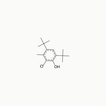 Cc1c(C(C)(C)C)cc(C(C)(C)C)c(O)c1Cl